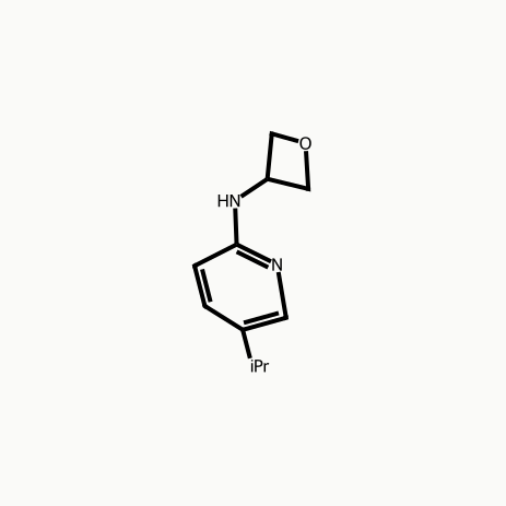 CC(C)c1ccc(NC2COC2)nc1